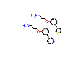 NCCCOc1cccc(-c2cccnc2)c1.NCCCOc1cccc(-c2ccsc2)c1